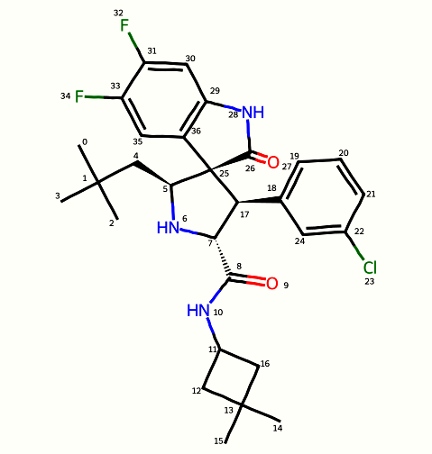 CC(C)(C)C[C@@H]1N[C@@H](C(=O)NC2CC(C)(C)C2)[C@H](c2cccc(Cl)c2)[C@]12C(=O)Nc1cc(F)c(F)cc12